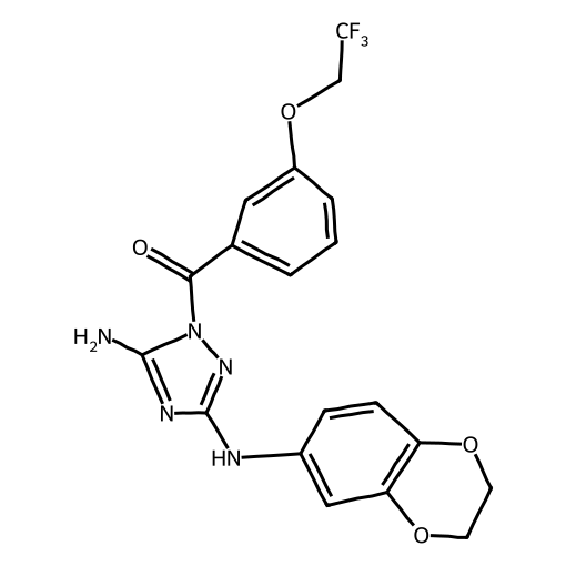 Nc1nc(Nc2ccc3c(c2)OCCO3)nn1C(=O)c1cccc(OCC(F)(F)F)c1